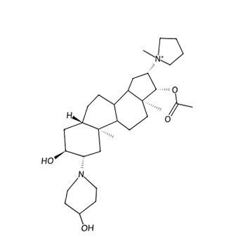 CC(=O)O[C@H]1[C@@H]([N+]2(C)CCCC2)CC2C3CC[C@H]4C[C@H](O)[C@@H](N5CCC(O)CC5)C[C@]4(C)C3CC[C@@]21C